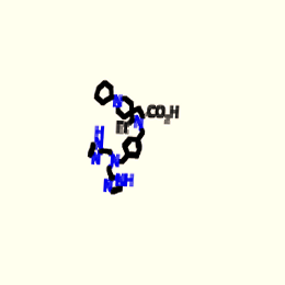 CCC1N(Cc2ccc(CN(Cc3ncc[nH]3)Cc3ncc[nH]3)cc2)[C@@H](C(=O)O)CC12CCN(C1CCCCC1)CC2